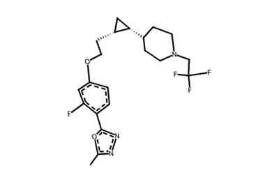 Cc1nnc(-c2ccc(OCC[C@@H]3C[C@@H]3C3CCN(CC(F)(F)F)CC3)cc2F)o1